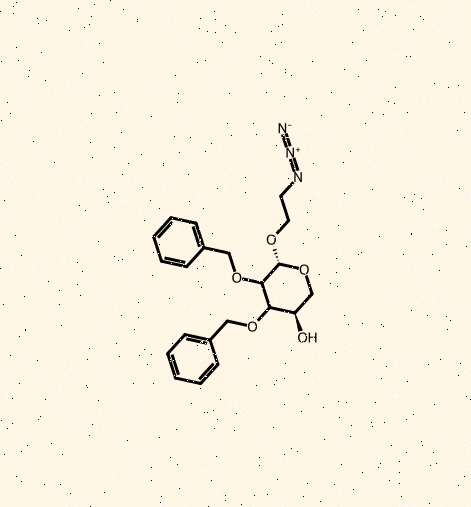 [N-]=[N+]=NCCO[C@@H]1OC[C@@H](O)C(OCc2ccccc2)C1OCc1ccccc1